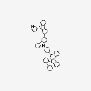 c1cncc(-n2c3ccccc3c3ccc(-c4ccc5c(c4)c4ccccc4n5-c4ccc(-c5cc6c(c7ccccc57)-c5ccccc5C65c6ccccc6-c6ccccc65)cc4)cc32)c1